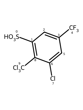 O=S(=O)(O)c1cc(C(F)(F)F)cc(Cl)c1C(Cl)(Cl)Cl